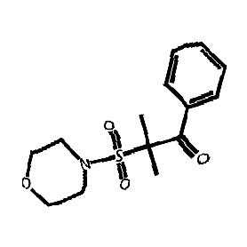 CC(C)(C(=O)c1ccccc1)S(=O)(=O)N1CCOCC1